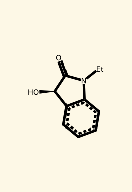 CCN1C(=O)[C@H](O)c2ccccc21